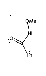 CONC(=O)C(C)C